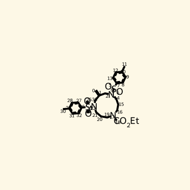 C=C1CN(S(=O)(=O)c2ccc(C)cc2)CCCN(C(=O)OCC)CCCN(S(=O)(=O)c2ccc(C)cc2)C1